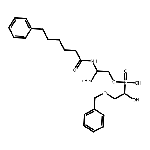 CCCCCCC(COP(=O)(O)C(O)COCc1ccccc1)NC(=O)CCCCCc1ccccc1